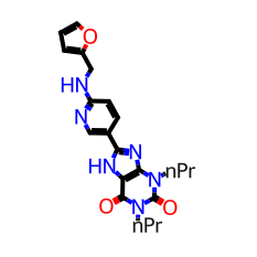 CCCn1c(=O)c2[nH]c(-c3ccc(NCc4ccco4)nc3)nc2n(CCC)c1=O